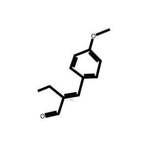 CC/C(C=O)=C\c1ccc(OC)cc1